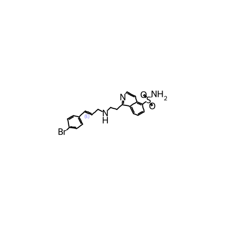 NS(=O)(=O)c1cccc2c(CCNC/C=C/c3ccc(Br)cc3)nccc12